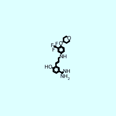 N=C(N)c1ccc(O)c(C=CCNc2ccc(OC3CCOCC3)c(C(F)(F)F)c2)c1